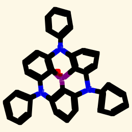 O=P12c3c4cccc3N(c3ccccc3)c3cccc(c31)N(c1ccccc1)c1cccc(c12)N4c1ccccc1